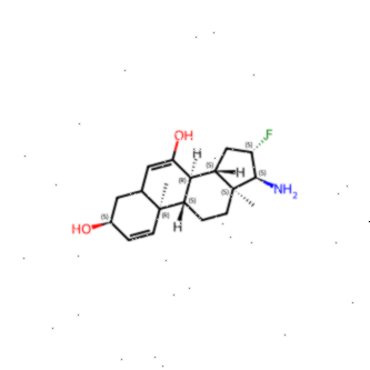 C[C@]12CC[C@H]3[C@@H](C(O)=CC4C[C@H](O)C=C[C@@]43C)[C@@H]1C[C@H](F)[C@H]2N